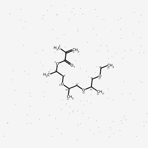 C=C(C)C(=O)OC(C)COC(C)COC(C)COCC